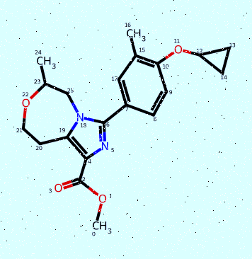 COC(=O)c1nc(-c2ccc(OC3CC3)c(C)c2)n2c1CCOC(C)C2